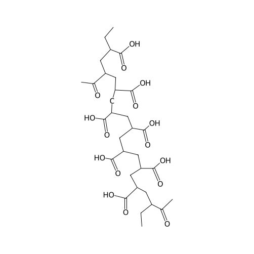 CCC(CC(CC(CC(CC(CC(CC(CC(CC(CC)C(=O)O)C(C)=O)C(=O)O)C(=O)O)C(=O)O)C(=O)O)C(=O)O)C(=O)O)C(C)=O